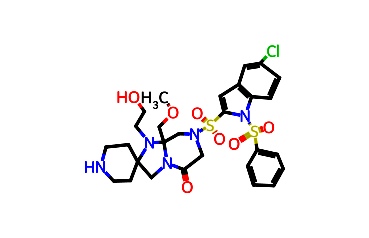 COCC12CN(S(=O)(=O)c3cc4cc(Cl)ccc4n3S(=O)(=O)c3ccccc3)CC(=O)N1CC1(CCNCC1)N2CCO